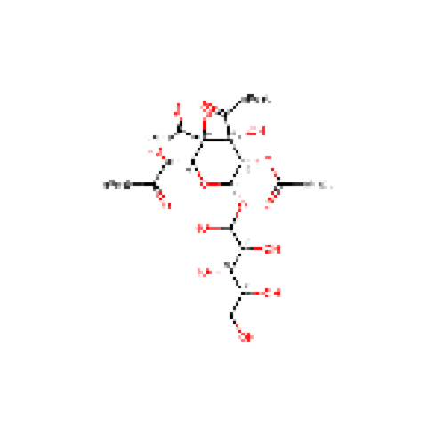 CCCCCCCC(=O)O[C@@H]1[C@H](OC(O)[C@@H](O)[C@@H](O)[C@H](O)CO)O[C@H](C(O)C(=O)CCCCC)[C@](O)(C(=O)CCCCC)[C@@]1(O)C(=O)CCCCC